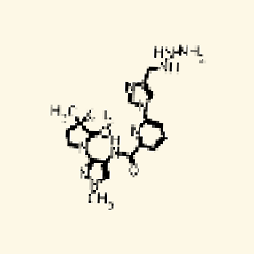 Cn1cc(NC(=O)c2cccc(-n3cnc(CNNN)c3)n2)c(N2CCC(C)(C)C2=O)n1